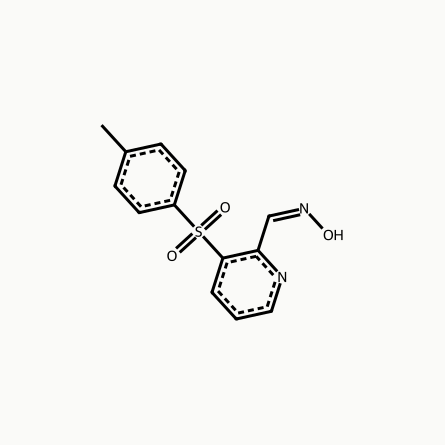 Cc1ccc(S(=O)(=O)c2cccnc2/C=N\O)cc1